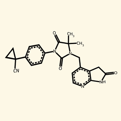 CC1(C)C(=O)N(c2ccc(C3(C#N)CC3)cc2)C(=O)N1Cc1ccnc2c1CC(=O)N2